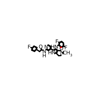 CN1CCc2[nH]c(-c3ccnc(NC(=O)Cc4ccc(F)cc4)c3)c(Nc3cc(F)ccc3F)c2C1=O